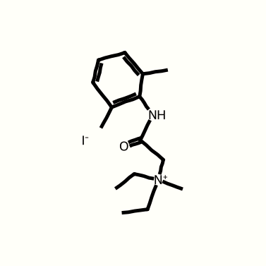 CC[N+](C)(CC)CC(=O)Nc1c(C)cccc1C.[I-]